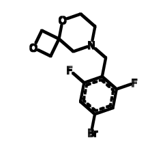 Fc1cc(Br)cc(F)c1CN1CCOC2(COC2)C1